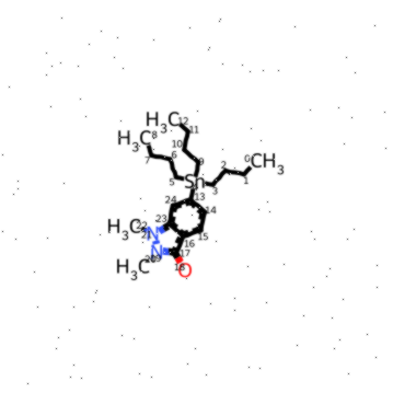 CCC[CH2][Sn]([CH2]CCC)([CH2]CCC)[c]1ccc2c(=O)n(C)n(C)c2c1